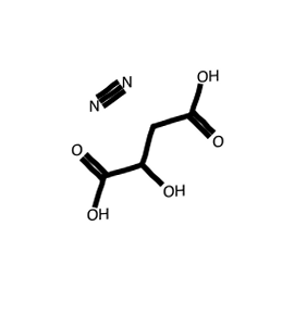 N#N.O=C(O)CC(O)C(=O)O